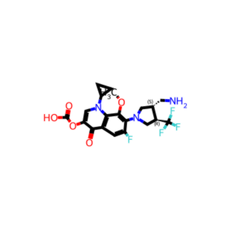 COc1c(N2C[C@H](CN)[C@@H](C(F)(F)F)C2)c(F)cc2c(=O)c(OC(=O)O)cn(C3CC3)c12